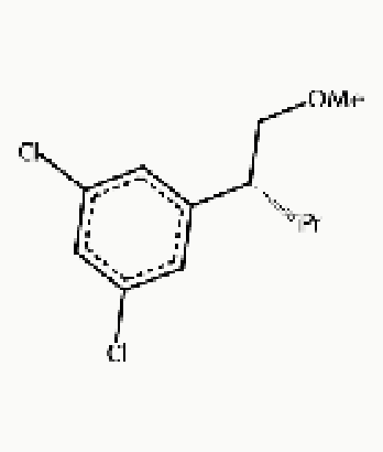 COC[C@@H](c1cc(Cl)cc(Cl)c1)C(C)C